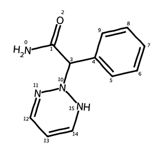 NC(=O)C(c1ccccc1)N1N=CC=CN1